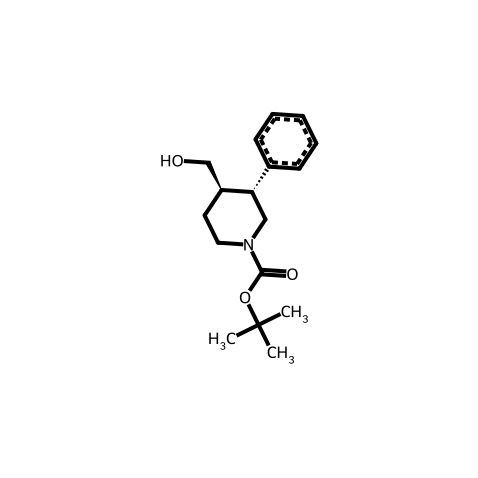 CC(C)(C)OC(=O)N1CC[C@@H](CO)[C@H](c2ccccc2)C1